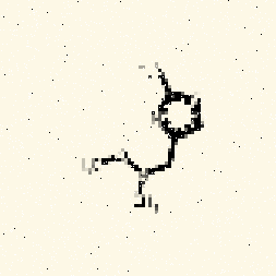 CON(C)Cc1csc(N)n1